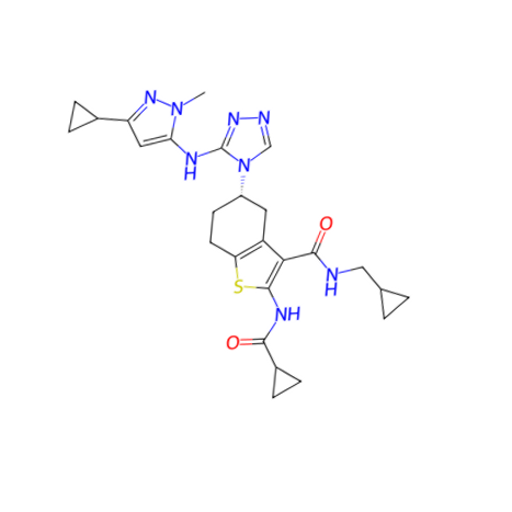 Cn1nc(C2CC2)cc1Nc1nncn1[C@H]1CCc2sc(NC(=O)C3CC3)c(C(=O)NCC3CC3)c2C1